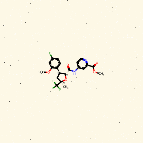 COC(=O)c1cc(NC(=O)[C@@H]2O[C@@](C)(C(F)(F)F)C[C@H]2c2ccc(F)cc2OC)ccn1